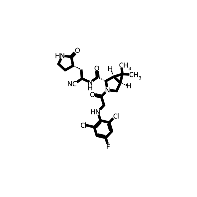 CC1(C)[C@@H]2[C@@H](C(=O)NC(C#N)C[C@@H]3CCNC3=O)N(C(=O)CNc3c(Cl)cc(F)cc3Cl)C[C@@H]21